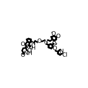 COc1ccc(CCN(CCOCCNc2cccc3c2C(=O)N(C2CCC(=O)NC2=O)C3=O)Cc2ccc(OCc3ccc(Cl)nc3)c(OC)c2)cc1OC